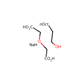 CCCCCCCCCCO.O=C(O)COCC(=O)O.[NaH]